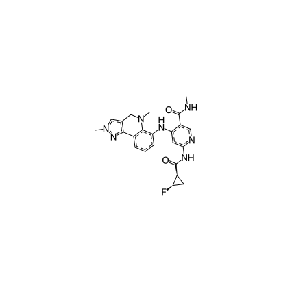 CNC(=O)c1cnc(NC(=O)[C@H]2C[C@H]2F)cc1Nc1cccc2c1N(C)Cc1cn(C)nc1-2